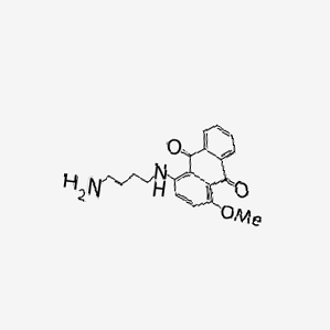 COc1ccc(NCCCCN)c2c1C(=O)c1ccccc1C2=O